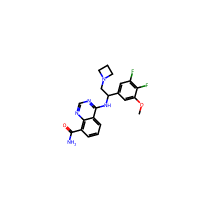 COc1cc(C(CN2CCC2)Nc2ncnc3c(C(N)=O)cccc23)cc(F)c1F